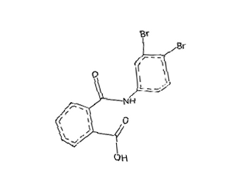 O=C(O)c1ccccc1C(=O)Nc1ccc(Br)c(Br)c1